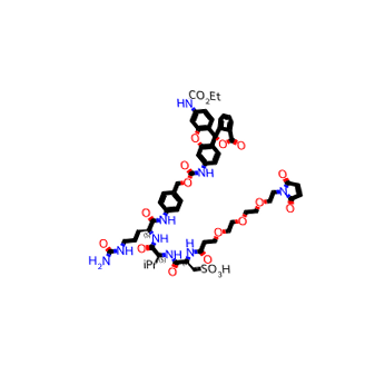 CCOC(=O)Nc1ccc2c(c1)Oc1cc(NC(=O)OCc3ccc(NC(=O)[C@H](CCCNC(N)=O)NC(=O)[C@@H](NC(=O)[C@H](CS(=O)(=O)O)NC(=O)CCOCCOCCOCCN4C(=O)C=CC4=O)C(C)C)cc3)ccc1C21OC(=O)c2ccccc21